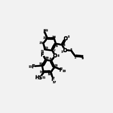 C=CCOC(=O)C1=C(Oc2c(F)c(F)c(S)c(F)c2F)CCC(I)=C1